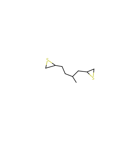 CC(CCC1CS1)CC1CS1